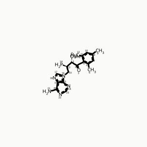 CO[C@H](C(=O)c1c(C)cc(C)cc1C)[C@H](P)Cn1cnc2c(N)ncnc21